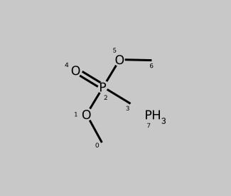 COP(C)(=O)OC.P